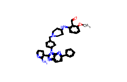 COc1cccc(NC2CCN(Cc3ccc(-n4c(-c5cccnc5N)nc5ccc(-c6ccccc6)nc54)cc3)CC2)c1C=O